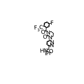 CC(C)NC(=O)c1ccc(N2CCCN(C(=O)c3cc(F)ccc3C(F)(F)F)C2=O)nn1